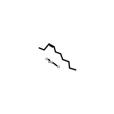 [CH2]C/C=C\CCCCCC.[Cl][Mg][Cl]